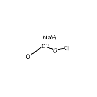 [NaH].[O-][Cl+]OCl